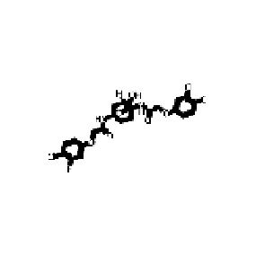 O=C(COc1ccc(Cl)c(F)c1)NC12CCC(NC(=O)COc3ccc(Cl)c(Cl)c3)(CC1)[C@@H](O)C2